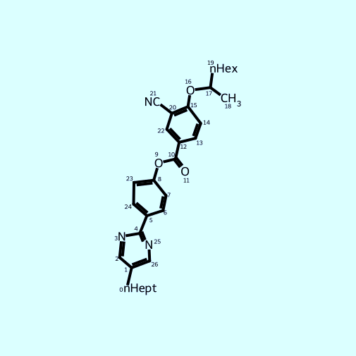 CCCCCCCc1cnc(-c2ccc(OC(=O)c3ccc(OC(C)CCCCCC)c(C#N)c3)cc2)nc1